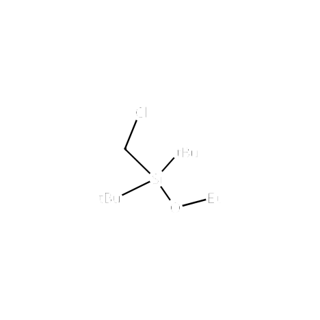 CCO[Si](CCl)(C(C)(C)C)C(C)(C)C